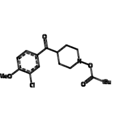 COc1ccc(C(=O)C2CCN(OC(=O)C(C)(C)C)CC2)cc1Cl